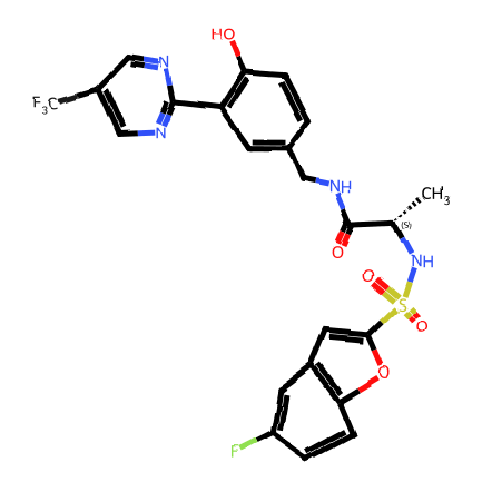 C[C@H](NS(=O)(=O)c1cc2cc(F)ccc2o1)C(=O)NCc1ccc(O)c(-c2ncc(C(F)(F)F)cn2)c1